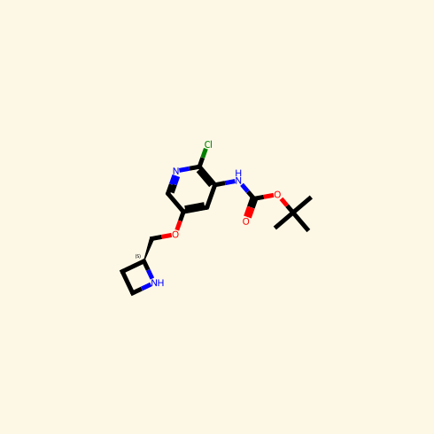 CC(C)(C)OC(=O)Nc1cc(OC[C@@H]2CCN2)cnc1Cl